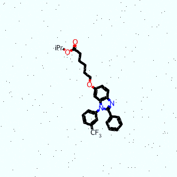 CC(C)OC(=O)CCCCCOc1ccc2nc(-c3ccccc3)n(-c3cccc(C(F)(F)F)c3)c2c1